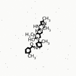 Cc1cccc(C(=O)Nc2ccc(C)c(N3Cc4cnc(Nc5cc(C)nn5C)nc4N(C)C3O)c2)c1